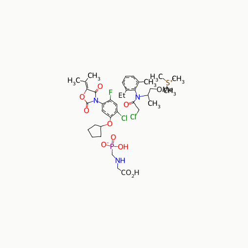 CC(C)=C1OC(=O)N(c2cc(OC3CCCC3)c(Cl)cc2F)C1=O.CCc1cccc(C)c1N(C(=O)CCl)C(C)COC.C[S+](C)C.O=C(O)CNCP(=O)([O-])O